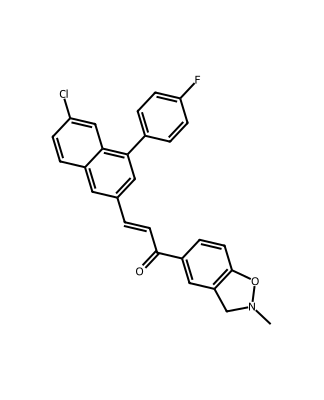 CN1Cc2cc(C(=O)/C=C/c3cc(-c4ccc(F)cc4)c4cc(Cl)ccc4c3)ccc2O1